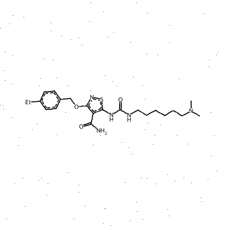 CCc1ccc(COc2nsc(NC(=O)NCCCCCCN(C)C)c2C(N)=O)cc1